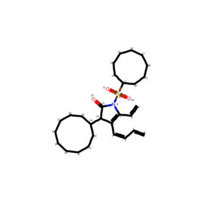 C=C/C=C\C1=C(C=C)N(S(=O)(=O)C2CCCCCCCC2)C(=O)C1C1CCCCCCCCC1